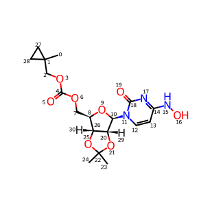 CC1(COC(=O)OC[C@H]2O[C@@H](n3ccc(NO)nc3=O)[C@@H]3OC(C)(C)O[C@@H]32)CC1